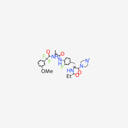 CCC(=O)N[C@H](Cc1ccc(NC(=O)[C@H](C)NC(=O)C(F)(F)c2cccc(OC)c2)c(F)c1)C(=O)N1CCN(C)CC1